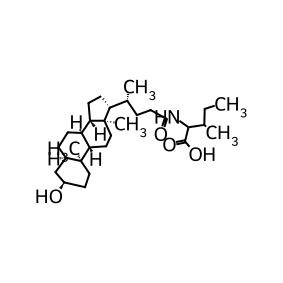 CCC(C)C(NC(=O)CC[C@@H](C)[C@H]1CC[C@H]2[C@@H]3CC[C@@H]4C[C@H](O)CC[C@]4(C)[C@H]3CC[C@]12C)C(=O)O